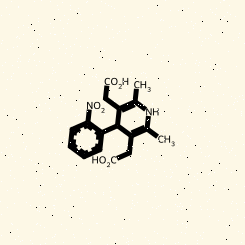 CC1=C(CC(=O)O)C(c2ccccc2[N+](=O)[O-])C(CC(=O)O)=C(C)N1